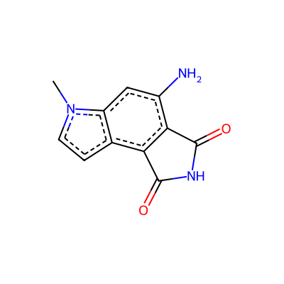 Cn1ccc2c3c(c(N)cc21)C(=O)NC3=O